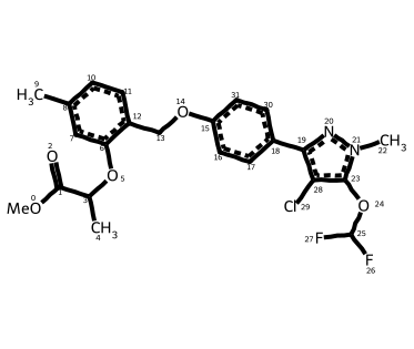 COC(=O)C(C)Oc1cc(C)ccc1COc1ccc(-c2nn(C)c(OC(F)F)c2Cl)cc1